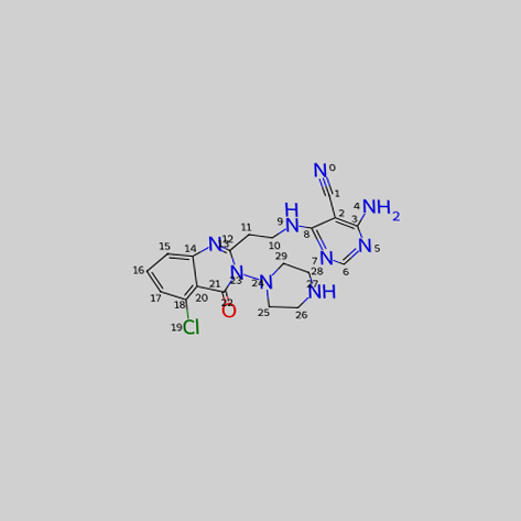 N#Cc1c(N)ncnc1NCCc1nc2cccc(Cl)c2c(=O)n1N1CCNCC1